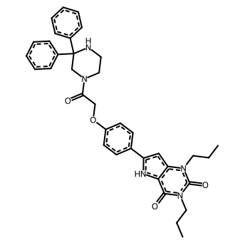 CCCn1c(=O)c2[nH]c(-c3ccc(OCC(=O)N4CCNC(c5ccccc5)(c5ccccc5)C4)cc3)cc2n(CCC)c1=O